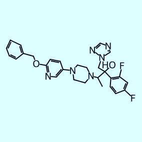 CC(N1CCN(c2ccc(OCc3ccccc3)nc2)CC1)C(O)(Cn1cncn1)c1ccc(F)cc1F